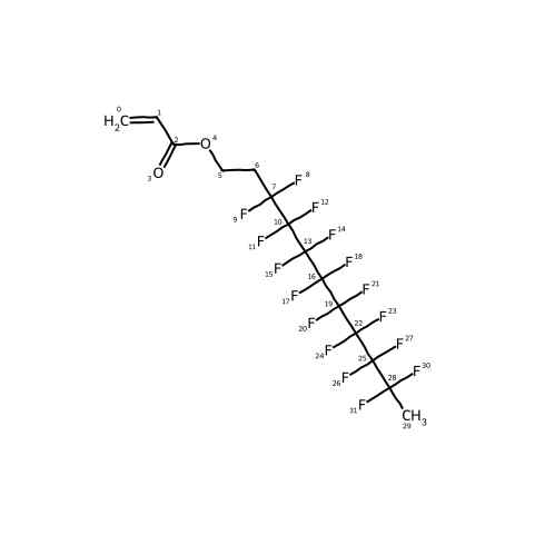 C=CC(=O)OCCC(F)(F)C(F)(F)C(F)(F)C(F)(F)C(F)(F)C(F)(F)C(F)(F)C(C)(F)F